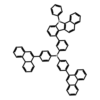 C1=CC2C(c3ccc(N(c4ccc(-c5cc6ccccc6c6ccccc56)cc4)c4cccc(-c5cccc6c5c5ccc7ccccc7c5n6-c5ccccc5)c4)cc3)=Cc3ccccc3C2C=C1